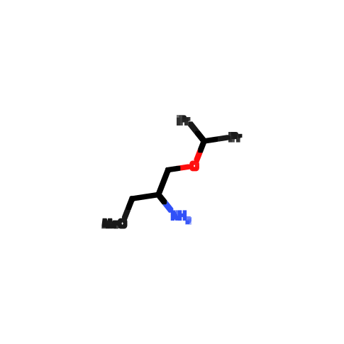 COCC(N)COC(C(C)C)C(C)C